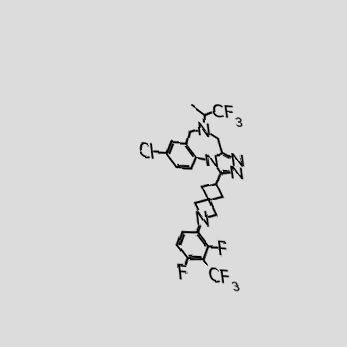 CC(N1Cc2cc(Cl)ccc2-n2c(nnc2C2CC3(C2)CN(c2ccc(F)c(C(F)(F)F)c2F)C3)C1)C(F)(F)F